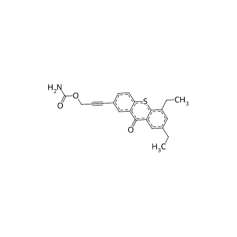 CCc1cc(CC)c2sc3ccc(C#CCOC(N)=O)cc3c(=O)c2c1